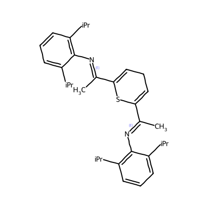 C/C(=N\c1c(C(C)C)cccc1C(C)C)C1=CCC=C(/C(C)=N/c2c(C(C)C)cccc2C(C)C)S1